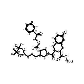 CC(C)(C)OC(=O)N1Cc2cc(Cl)ccc2CC1C(=O)N1CC(CCCB2OC(C)(C)C(C)(C)O2)[C@H](C(=O)OCC(=O)c2ccccc2)C1